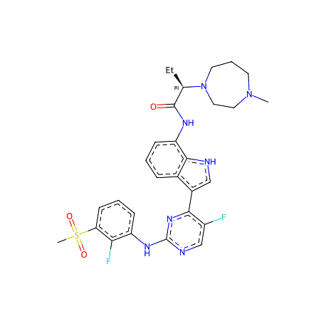 CC[C@H](C(=O)Nc1cccc2c(-c3nc(Nc4cccc(S(C)(=O)=O)c4F)ncc3F)c[nH]c12)N1CCCN(C)CC1